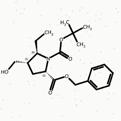 CC[C@@H]1[C@@H](CO)C[C@@H](C(=O)OCc2ccccc2)N1C(=O)OC(C)(C)C